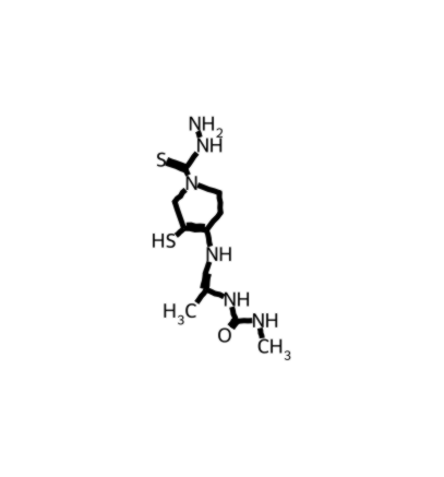 CNC(=O)N/C(C)=C\NC1=C(S)CN(C(=S)NN)CC1